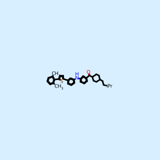 Cc1cccc(C)c1-c1ccc(-c2cccc(Nc3cccc(C(=O)C4CCC(CCC(C)C)CC4)c3)c2)s1